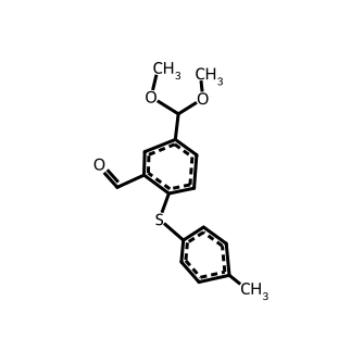 COC(OC)c1ccc(Sc2ccc(C)cc2)c(C=O)c1